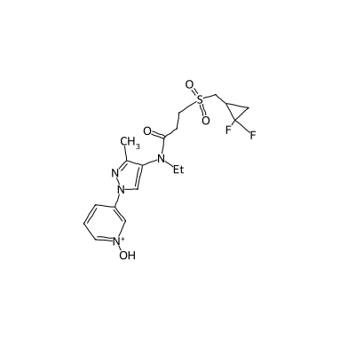 CCN(C(=O)CCS(=O)(=O)CC1CC1(F)F)c1cn(-c2ccc[n+](O)c2)nc1C